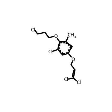 Cc1cc(OCC=C(Cl)Cl)cc(Cl)c1OCCCCl